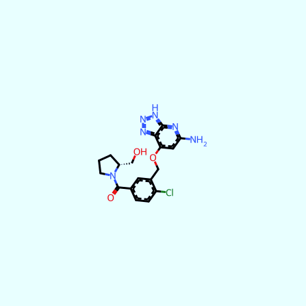 Nc1cc(OCc2cc(C(=O)N3CCC[C@@H]3CO)ccc2Cl)c2nn[nH]c2n1